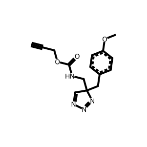 C#CCOC(=O)NCC1(Cc2ccc(OC)cc2)C=NN=N1